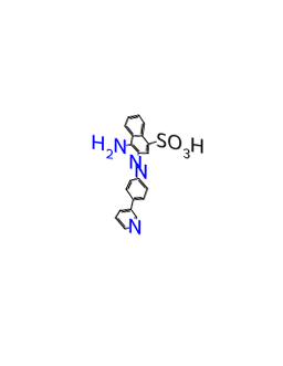 Nc1c(N=Nc2ccc(-c3cccnc3)cc2)cc(S(=O)(=O)O)c2ccccc12